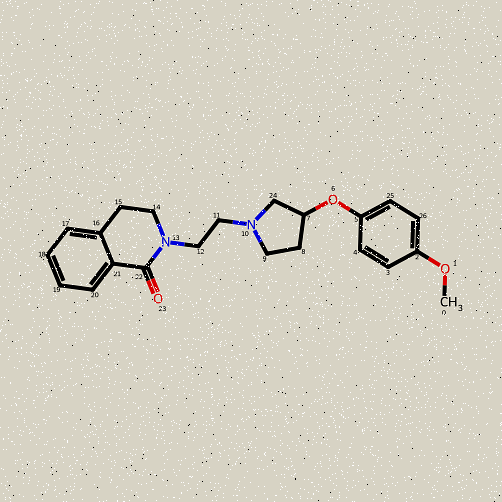 COc1ccc(OC2CCN(CCN3CCc4ccccc4C3=O)C2)cc1